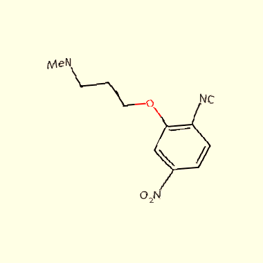 [C-]#[N+]c1ccc([N+](=O)[O-])cc1OCCCNC